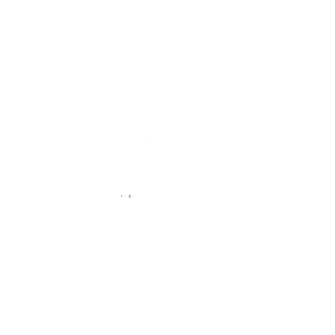 CC(O)C(=O)[O-].CC(O)C(=O)[O-].[Ca+2].[NaH]